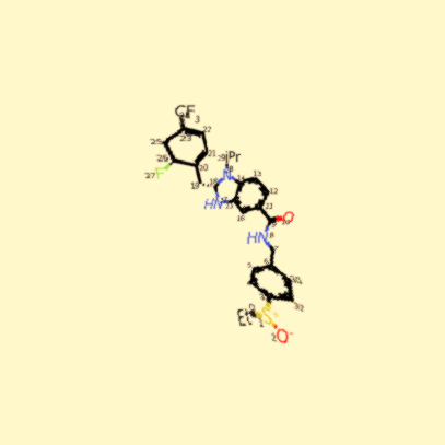 CC[S+]([O-])c1ccc(CNC(=O)c2ccc3c(c2)N[C@H](CC2=CC=C(C(F)(F)F)C[C@@H]2F)N3C(C)C)cc1